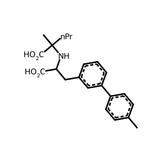 CCCC(C)(NC(Cc1cccc(-c2ccc(C)cc2)c1)C(=O)O)C(=O)O